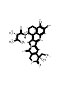 CC[C@@]1(O)C(=O)OCc2c1cc1n(c2=O)Cc2c-1nc1cc(F)c(Cl)c3c1c2[C@@H](NC(=O)[C@@H](C)C(C)C)CC3